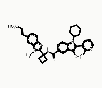 Cc1c(-c2cccnc2Cl)n(C2CCCCC2)c2ccc(C(=O)NC3(c4nc5ccc(/C=C/C(=O)O)cc5n4C)CCC3)cc12